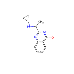 CC(NC1CC1)c1nc2ccccc2c(=O)[nH]1